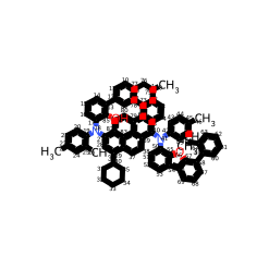 CCc1ccccc1-c1cccc(-c2cccc(N(c3ccc(C)cc3C)c3cc(C4CCCCC4)c4ccc5c(N(c6ccc(C)cc6C)c6cccc7c6oc6c(-c8ccccc8CC)cccc67)cc(C6CCCCC6)c6ccc3c4c65)c2O)c1